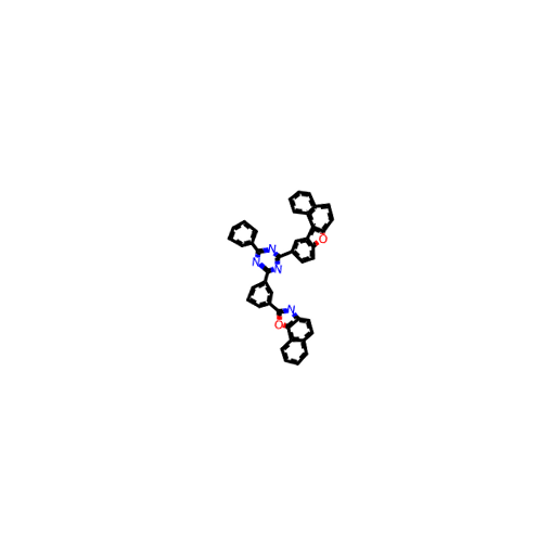 c1ccc(-c2nc(-c3cccc(-c4nc5ccc6ccccc6c5o4)c3)nc(-c3ccc4oc5ccc6ccccc6c5c4c3)n2)cc1